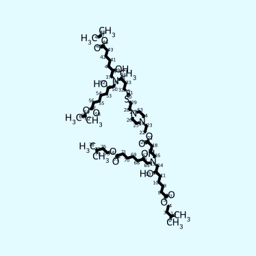 CC(C)CCOC(=O)CCCCC(O)CN(CCCC(=O)OCCN1CCN(CCSSCCC(C)N(CC(O)CCCCC(=O)OC(C)C)CC(O)CCCCC(=O)OC(C)C)CC1)CC(O)CCCCC(=O)OCCC(C)C